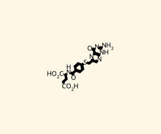 Nc1nc(=O)c2nc(CSc3ccc(C(=O)N[C@@H](CCC(=O)O)C(=O)O)cc3)cnc2[nH]1